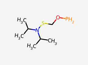 CC(C)N(SCOP)C(C)C